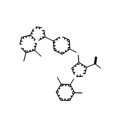 Cc1ncc2nnc(-c3ccc(Nc4cn(-c5c(Cl)cccc5Cl)nc4C(N)=O)cn3)n2c1C